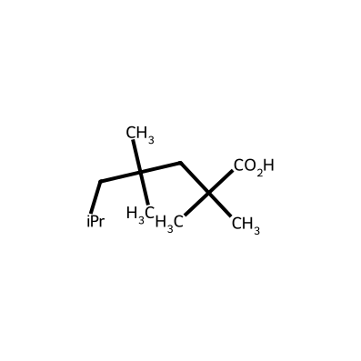 CC(C)CC(C)(C)CC(C)(C)C(=O)O